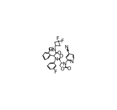 N#Cc1ccnc(N2C(=O)OC[C@H]2C(=O)N(c2cccc(F)c2)[C@H](C(=O)NC2CC(F)(F)C2)c2ccccc2Cl)c1